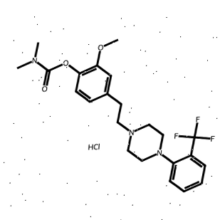 COc1cc(CCN2CCN(c3ccccc3C(F)(F)F)CC2)ccc1OC(=O)N(C)C.Cl